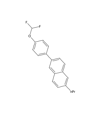 CCCc1ccc2cc(-c3ccc(OC(F)F)cc3)ccc2c1